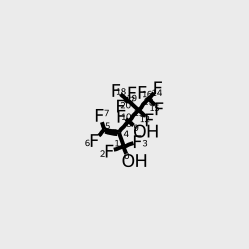 OC(F)(F)C(=C(F)F)C(O)(F)C(F)(C(F)(F)F)C(F)(F)F